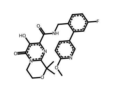 COc1ccc(-c2cc(F)ccc2CNC(=O)c2nc3n(c(=O)c2O)CCOC3(C)C)cn1